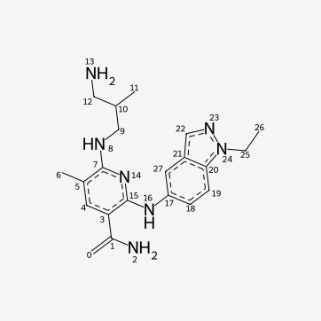 C=C(N)c1cc(C)c(NCC(C)CN)nc1Nc1ccc2c(cnn2CC)c1